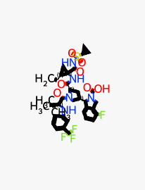 C=C[C@@H]1C[C@]1(NC(=O)[C@@H]1C[C@@H](C2c3cccc(F)c3CN2C(=O)O)CN1C(=O)[C@@H](Nc1cccc(C(F)(F)F)c1)C(C)(C)C)C(=O)NS(=O)(=O)C1CC1